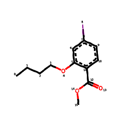 CCCCOc1cc(I)ccc1C(=O)OC